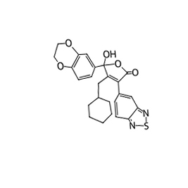 O=C1OC(O)(c2ccc3c(c2)OCCO3)C(CC2CCCCC2)=C1c1ccc2nsnc2c1